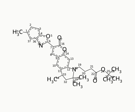 Cc1ccc2oc(-c3cc4cc5c(cc4oc3=O)N(CCCC(=O)OC(C)(C)C)C(C)(C)CC5C)nc2c1